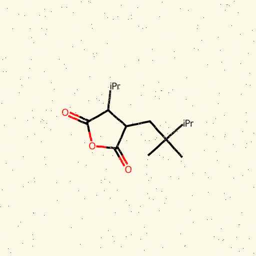 CC(C)C1C(=O)OC(=O)C1CC(C)(C)C(C)C